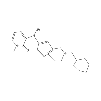 CC(C)N(c1ccc2c(c1)CN(CC1CCCCC1)CC2)c1cccn(C)c1=O